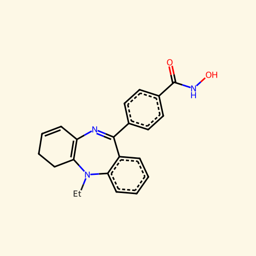 CCN1C2=C(C=CCC2)N=C(c2ccc(C(=O)NO)cc2)c2ccccc21